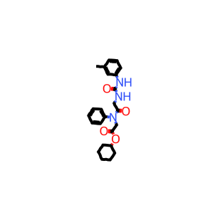 Cc1cccc(NC(=O)NCC(=O)N(CC(=O)OC2CCCCC2)c2ccccc2)c1